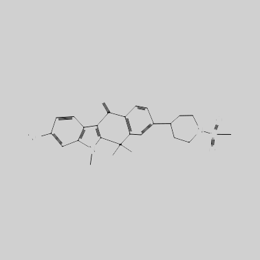 Cn1c2c(c3ccc(C#N)cc31)C(=O)c1ccc(C3CCN(S(C)(=O)=O)CC3)cc1C2(C)C